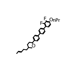 C/C=C/CCC1CCC(c2ccc(-c3ccc(-c4ccc(OCCC)c(F)c4F)cc3)cc2)OC1